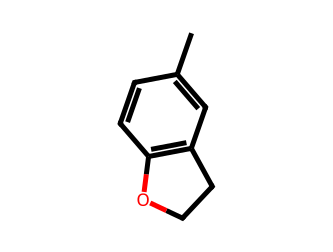 Cc1ccc2c(c1)CCO2